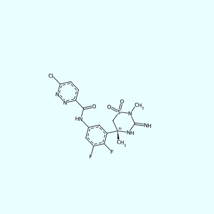 CN1C(=N)N[C@](C)(c2cc(NC(=O)c3ccc(Cl)nn3)cc(F)c2F)CS1(=O)=O